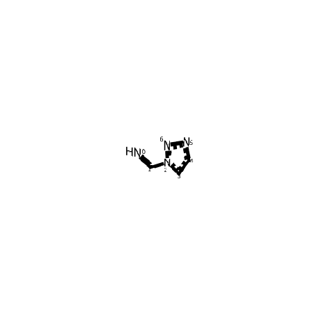 N=Cn1ccnn1